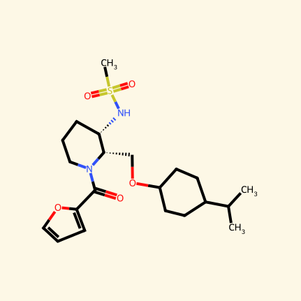 CC(C)C1CCC(OC[C@H]2[C@@H](NS(C)(=O)=O)CCCN2C(=O)c2ccco2)CC1